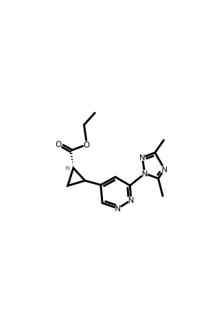 CCOC(=O)[C@H]1CC1c1cnnc(-n2nc(C)nc2C)c1